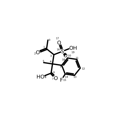 CC(=O)C(C(C)(C(=O)O)c1ccccc1F)S(=O)(=O)O